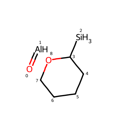 [O]=[AlH].[SiH3]C1CCCCO1